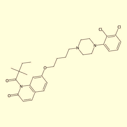 CCC(C)(C)C(=O)n1c(=O)ccc2ccc(OCCCCN3CCN(c4cccc(Cl)c4Cl)CC3)cc21